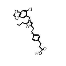 CCCc1nc(CSc2ccc(CCC(=O)O)cc2)cn1Cc1cc2c(cc1Cl)OCO2